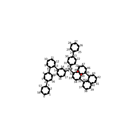 c1ccc(-c2ccc(-c3ccccc3-c3cccc(N(c4ccc(-c5ccccc5)cc4)c4ccc(-c5cccc6cccc(-c7ccccc7)c56)cc4)c3)cc2)cc1